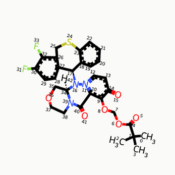 CC(C)(C)C(=O)OCOc1c2n(ccc1=O)N([C@@H]1c3ccccc3SCc3c1ccc(F)c3F)[C@@H]1COCCN1C2=O